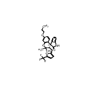 CCCOc1ccc2c(c1)OC(C)(C)C(Cc1ccc(C(F)(F)F)o1)[C@]21C(=O)Nc2ccccc21